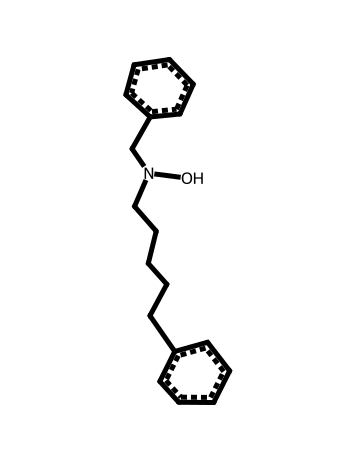 ON(CCCCCc1ccccc1)Cc1ccccc1